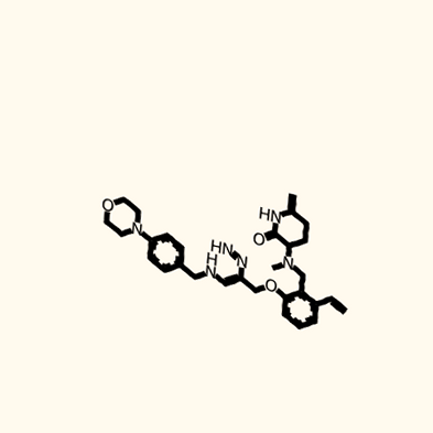 C=Cc1cccc(OC/C(=C/NCc2ccc(N3CCOCC3)cc2)N=N)c1CN(C)C1CCC(=C)NC1=O